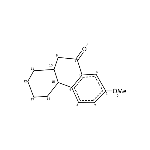 COc1ccc2c(c1)C(=O)CC1CCCCC21